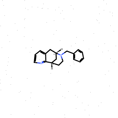 c1ccc(CN2CC[C@H]3C[C@@H]2Cc2cccnc23)cc1